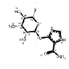 C[C@@H]1O[C@@H](Oc2nc[nH]c2C(N)=O)[C@H](O)[C@H](O)[C@H]1O